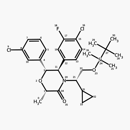 C[C@@H]1O[C@H](c2cccc(Cl)c2)[C@@H](c2ccc(Cl)c(F)c2)N([C@H](CO[Si](C)(C)C(C)(C)C)C2CC2)C1=O